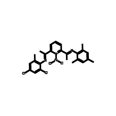 CC(=Nc1c(C)cc(C)cc1C)c1cccc(C(C)=Nc2c(C)cc(Cl)cc2Cl)[n+]1[Fe]([Cl])[Cl]